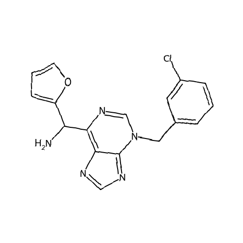 NC(c1ccco1)c1ncn(Cc2cccc(Cl)c2)c2ncnc1-2